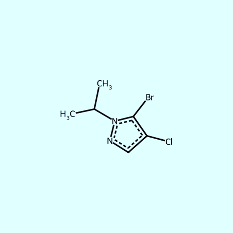 CC(C)n1ncc(Cl)c1Br